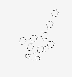 c1ccc(-c2ccc(-c3nc(-c4ccc(-c5ccccc5)cc4)nc(-c4cccc5oc6cc7c(cc6c45)-c4ccccc4C74c5ccccc5Oc5ccccc54)n3)cc2)cc1